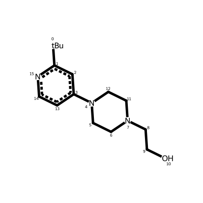 CC(C)(C)c1cc(N2CCN(CCO)CC2)ccn1